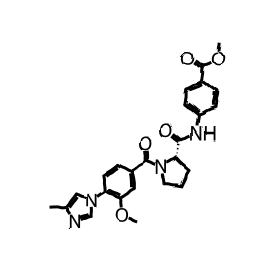 COC(=O)c1ccc(NC(=O)[C@@H]2CCCN2C(=O)c2ccc(-n3cnc(C)c3)c(OC)c2)cc1